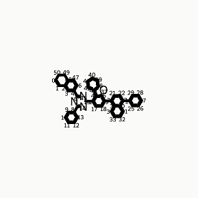 C1=Cc2cc(-c3nc(-c4ccccc4)nc(-c4ccc(-c5ccc(-c6ccccc6)c6ccccc56)c5oc6ccccc6c45)n3)ccc2CC1